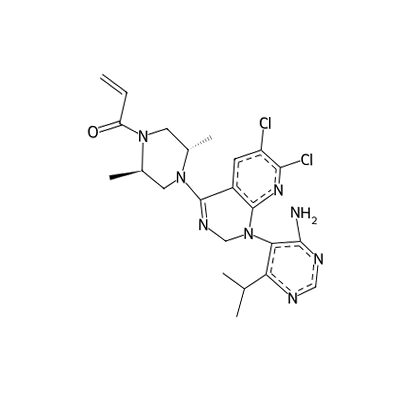 C=CC(=O)N1C[C@H](C)N(C2=NCN(c3c(N)ncnc3C(C)C)c3nc(Cl)c(Cl)cc32)C[C@H]1C